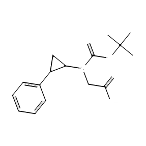 CC(C)(C)OC(=O)N(CC(=O)O)C1CC1c1ccccc1